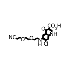 N#CCCOCCOCCNc1cc2c(=O)c(C(=O)O)c[nH]c2cc1Cl